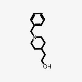 OCCC1CCN(Cc2cc[c]cc2)CC1